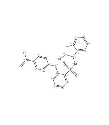 O=[N+]([O-])c1ccc(Sc2ccccc2S(=O)(=O)NC2c3ccccc3CC2O)cc1